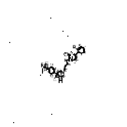 O=c1nc(-c2ccccc2F)ccn1CCCCN1C[C@@H]2C[C@]2(c2ccc(C(F)(F)F)cc2)C1